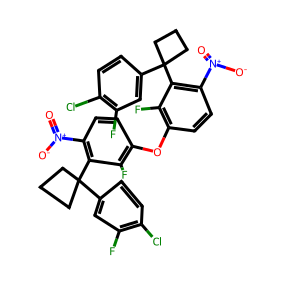 O=[N+]([O-])c1ccc(Oc2ccc([N+](=O)[O-])c(C3(c4ccc(Cl)c(F)c4)CCC3)c2F)c(F)c1C1(c2ccc(Cl)c(F)c2)CCC1